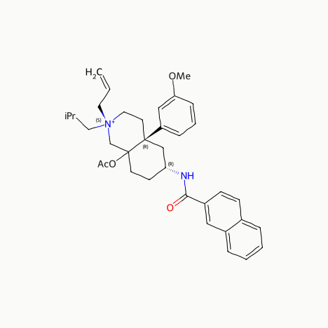 C=CC[N@@+]1(CC(C)C)CC[C@]2(c3cccc(OC)c3)C[C@H](NC(=O)c3ccc4ccccc4c3)CCC2(OC(C)=O)C1